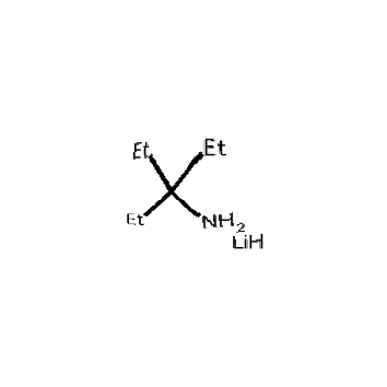 [CH2]CC(N)(CC)CC.[LiH]